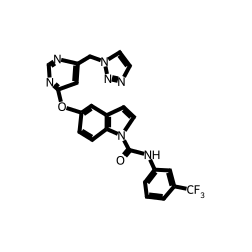 O=C(Nc1cccc(C(F)(F)F)c1)n1ccc2cc(Oc3cc(Cn4ccnn4)ncn3)ccc21